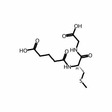 CSC[C@H](NC(=O)CCCC(=O)O)C(=O)NCC(=O)O